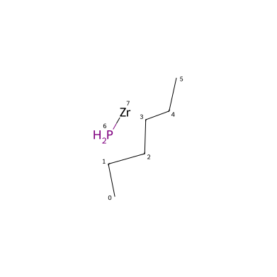 CCCCCC.[PH2][Zr]